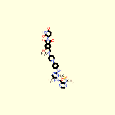 CN(Cc1cc2c(cc1Br)C(=O)N(C1CCC(=O)NC1=O)C2=O)C1CCN(c2ccc(Nc3ncc(C(F)(F)F)c(NCc4nccnc4N(C)S(C)(=O)=O)n3)cc2)CC1